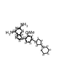 COc1cc(N2CCC(N3CCCCC3)C2)ccc1-n1cnc2c(N)nc(N)nc21